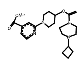 C=C(OC1CCN(c2cc(C(=O)OC)ccn2)CC1)N1CCN(C2CCC2)CC1